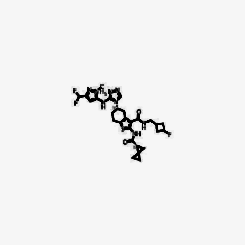 Cn1nc(C(F)F)cc1Nc1nncn1[C@H]1CCc2sc(NC(=O)[C@H]3CC34CC4)c(C(=O)NCC3CC(F)C3)c2C1